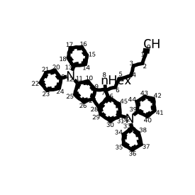 C#CCCCCCC1(CCCCCC)c2cc(N(c3ccccc3)c3ccccc3)ccc2-c2ccc(N(c3ccccc3)c3ccccc3)cc21